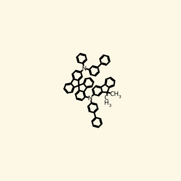 CC1(C)c2ccccc2-c2ccc(N(c3ccc(-c4ccccc4)cc3)c3cccc4c3-c3ccccc3C43c4ccccc4-c4ccc(N(c5ccccc5)c5cccc(-c6ccccc6)c5)cc43)cc21